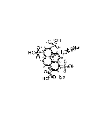 O.O=S(=O)(O)c1cc(S(=O)(=O)O)c2ccc3c(S(=O)(=O)O)cc(S(=O)(=O)O)c4ccc1c2c43.[Na].[Na].[Na].[Na]